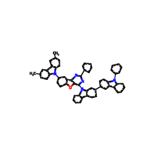 Cc1ccc2c(c1)c1cc(C)ccc1n2-c1ccc2oc3c(-n4c5ccccc5c5ccc(-c6ccc7c(c6)c6ccccc6n7-c6ccccc6)cc54)nc(-c4ccccc4)nc3c2c1